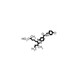 C=C(/C=C\C)c1nc2ccc(C(=O)NCc3ccc(Cl)cc3)cc2nc1CCCC(C)C(=O)O